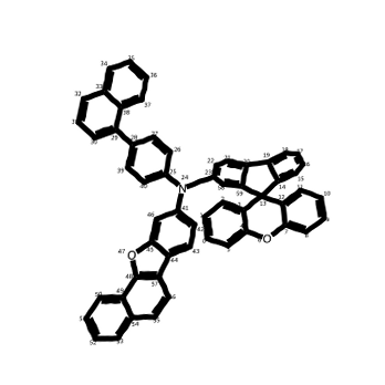 c1ccc2c(c1)Oc1ccccc1C21c2ccccc2-c2ccc(N(c3ccc(-c4cccc5ccccc45)cc3)c3ccc4c(c3)oc3c5ccccc5ccc43)cc21